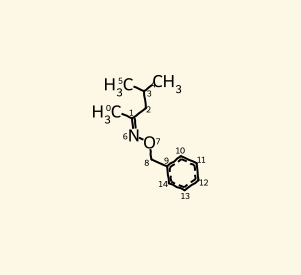 CC(CC(C)C)=NOCc1ccccc1